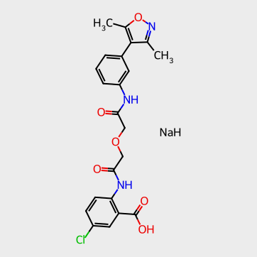 Cc1noc(C)c1-c1cccc(NC(=O)COCC(=O)Nc2ccc(Cl)cc2C(=O)O)c1.[NaH]